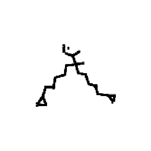 CC(O[SiH3])C(C)(CCCOCC1CO1)CCCOCC1CO1